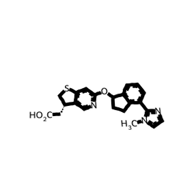 Cn1ccnc1-c1cccc2c1CCC2Oc1cc2c(cn1)[C@H](CC(=O)O)CS2